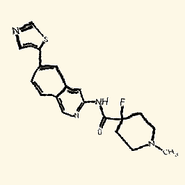 CN1CCC(F)(C(=O)Nc2cc3cc(-c4cncs4)ccc3cn2)CC1